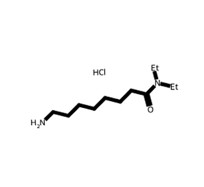 CCN(CC)C(=O)CCCCCCCN.Cl